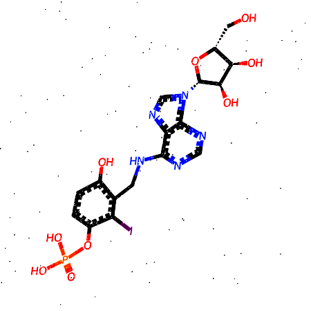 O=P(O)(O)Oc1ccc(O)c(CNc2ncnc3c2ncn3[C@@H]2O[C@H](CO)[C@@H](O)[C@H]2O)c1I